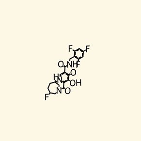 O=C(NCc1c(F)cc(F)cc1F)c1cn2c(c(O)c1=O)C(=O)N1CC(F)CC[C@H]2C1